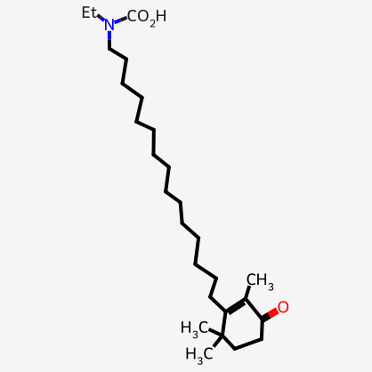 CCN(CCCCCCCCCCCCCCCC1=C(C)C(=O)CCC1(C)C)C(=O)O